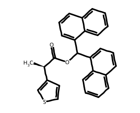 C[C@@H](C(=O)OC(c1cccc2ccccc12)c1cccc2ccccc12)c1ccsc1